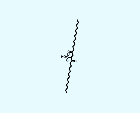 CCCCCCCCCCCCC(=O)CC(C(=O)CCCCCCCCCCCC)S(=O)(=O)O